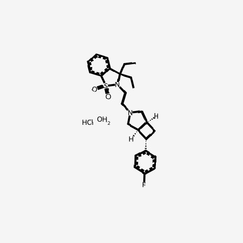 CCC1(CC)c2ccccc2S(=O)(=O)N1CCN1C[C@H]2C[C@H](c3ccc(F)cc3)[C@H]2C1.Cl.O